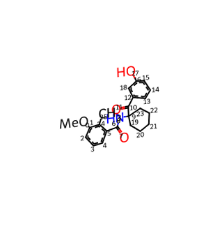 COc1cccc(C(=O)NC2(C(=O)c3cccc(O)c3)CCCCC2)c1C